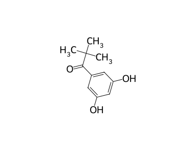 CC(C)(C)C(=O)c1cc(O)cc(O)c1